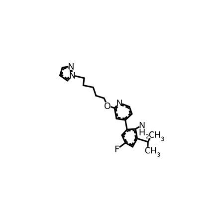 CC(C)c1cc(F)cc(-c2ccnc(OCCCCCn3cccn3)c2)c1N